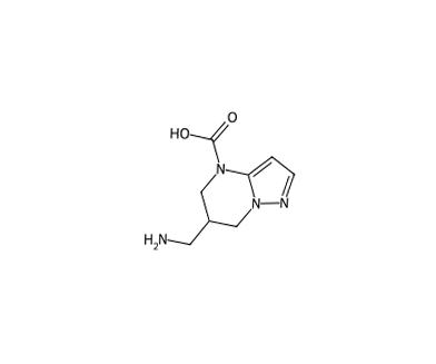 NCC1CN(C(=O)O)c2ccnn2C1